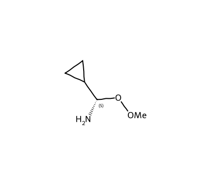 COO[C@H](N)C1CC1